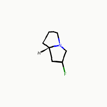 FC1C[C@@H]2CCCN2C1